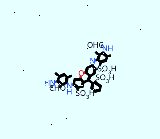 Cc1cc(C)c(NC=O)c(C)c1/N=c1/cc2oc3cc(Nc4c(C)cc(C)c(NC=O)c4C)c(S(=O)(=O)O)cc3c(-c3ccccc3S(=O)(=O)O)c-2cc1S(=O)(=O)O